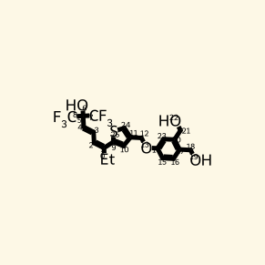 CC/C(=C/C=C/C(O)(C(F)(F)F)C(F)(F)F)c1cc(COc2ccc(CO)c(CO)c2)cs1